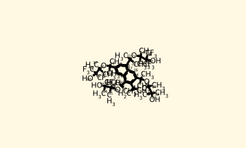 C=C(C)c1c(C(C)(C)OC(C)(C)C(C)(C)O)cc2c(C(C)(C)OC(C)(C)C(O)(C(F)(F)F)C(F)(F)F)cc(C(C)(C)OC(C)(C)C(O)(C(F)(F)F)C(F)(F)F)cc2c1C(C)(C)OC(C)(C)C(C)(O)C(F)(F)F